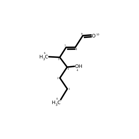 CCCC(O)C(C)/C=C/C=O